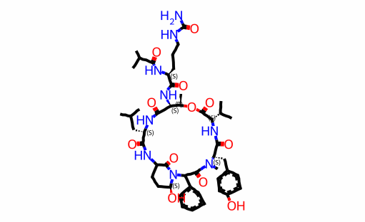 CC(C)C[C@@H]1NC(=O)[C@@H](NC(=O)[C@H](CCCNC(N)=O)NC(=O)C(C)C)[C@@H](C)OC(=O)[C@H](C(C)C)NC(=O)[C@H](Cc2ccc(O)cc2)N(C)C(=O)C(c2ccccc2)N2C(=O)C(CC[C@@H]2O)NC1=O